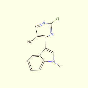 Cn1cc(-c2nc(Cl)ncc2C#N)c2ccccc21